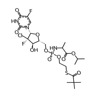 CC(C)OC(=O)C(C)NP(=O)(OCCSC(=O)C(C)(C)C)OC[C@H]1O[C@@H](n2cc(F)c(=O)[nH]c2=O)[C@](F)(Cl)[C@@H]1O